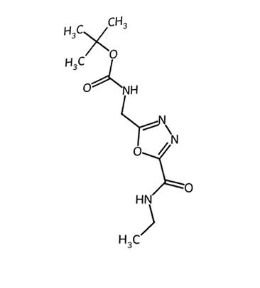 CCNC(=O)c1nnc(CNC(=O)OC(C)(C)C)o1